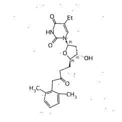 CCc1cn([C@H]2C[C@H](O)[C@@H](CCC(=O)Cc3c(C)cccc3C)O2)c(=O)[nH]c1=O